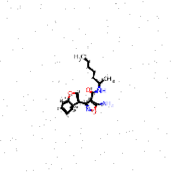 CCCCCC(C)NC(=O)c1c(-c2coc3ccccc23)noc1N